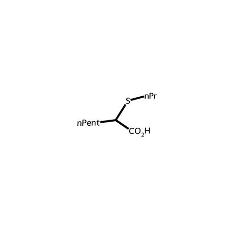 CCCCCC(SCCC)C(=O)O